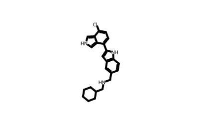 Clc1ccc(-c2cc3cc(CNCC4CCCCC4)ccc3[nH]2)c2c[nH]cc12